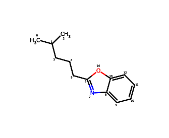 CC(C)CCCc1nc2ccccc2o1